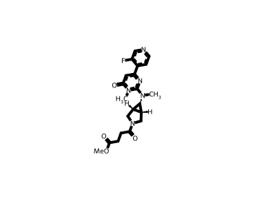 COC(=O)CCC(=O)N1C[C@@H]2[C@H](C1)[C@@H]2N(C)c1nc(-c2ccncc2F)cc(=O)n1C